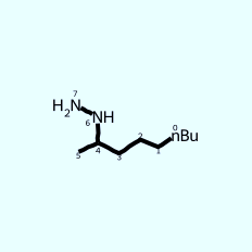 CCCCCCCC(C)NN